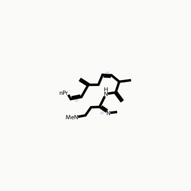 C=C(/C=C\CCC)C/C=C\C(C)C(=C)N/C(CCNC)=N\C